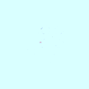 CCC(O)C(CC(C(=O)OC(C)(C)C)C(c1ccccc1)(c1ccccc1)c1ccccc1)C(=O)OC(C)(C)C